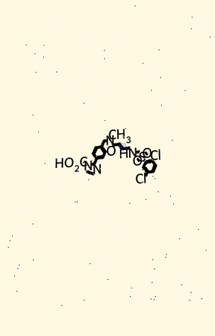 CN(Cc1ccc(C2=NCCN2C(=O)O)cc1)C(=O)/C=C/CNCS(=O)(=O)c1cc(Cl)ccc1Cl